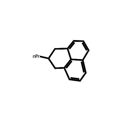 CCCC1Cc2cccc3cccc(c23)C1